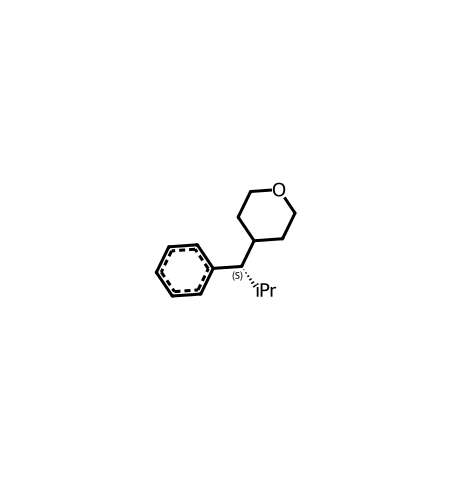 CC(C)[C@H](c1ccccc1)C1CCOCC1